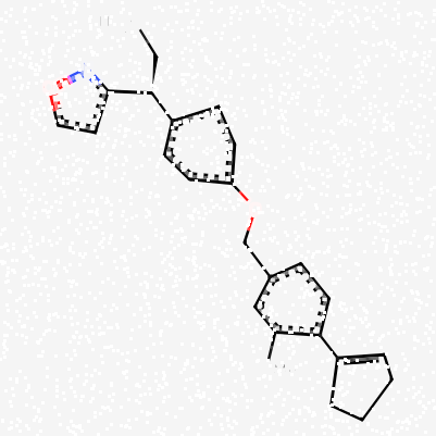 COc1cc(COc2ccc([C@H](CC(=O)O)c3ccon3)cc2)ccc1C1=CCCC1